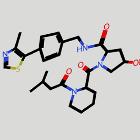 Cc1ncsc1-c1ccc(CNC(=O)C2CC(O)CN2C(=O)C2CCCCN2C(=O)CC(C)C)cc1